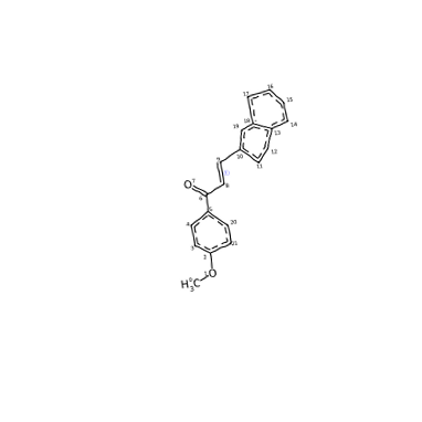 COc1ccc(C(=O)/C=C/c2ccc3ccccc3c2)cc1